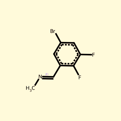 C/N=C/c1cc(Br)cc(F)c1F